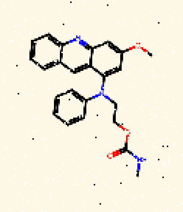 CNC(=O)OCCN(c1ccccc1)c1cc(OC)cc2nc3ccccc3cc12